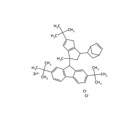 CC(C)(C)C1=CC2=C(C1)C(C1CC3C=CC1C3)CC2(C)C1c2cc(C(C)(C)C)ccc2-c2ccc(C(C)(C)C)cc21.[Cl-].[Cl-].[Zr+2]